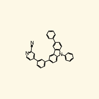 N#Cc1cc(-c2cccc(-c3ccc4c(c3)c3cc(-c5ccccc5)ccc3n4-c3ccccc3)c2)ccn1